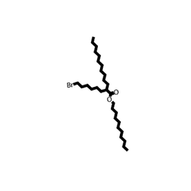 CCCCCCCCCCCOC(=O)C(CCCCCCBr)CCCCCCCCCCC